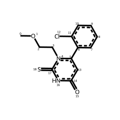 COCCn1c(-c2ccccc2Cl)cc(=O)[nH]c1=S